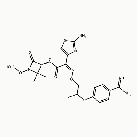 CC(CO/N=C(\C(=O)N[C@@H]1C(=O)N(OS(=O)(=O)O)C1(C)C)c1csc(N)n1)Oc1ccc(C(=N)N)cc1